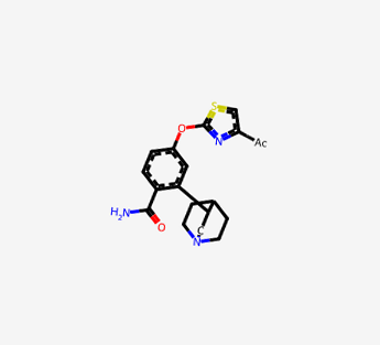 CC(=O)c1csc(Oc2ccc(C(N)=O)c(C3CN4CCC3CC4)c2)n1